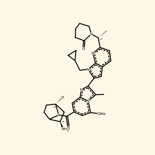 COc1cc(C(=O)N2C3CC[C@H]2C[C@H]3N)cc2nc(-c3cc4ccc([C@@H](C)N5CCCCC5=O)nc4n3CC3CC3)c(C)n12